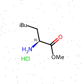 CCC(C)C[C@H](N)C(=O)OC.Cl